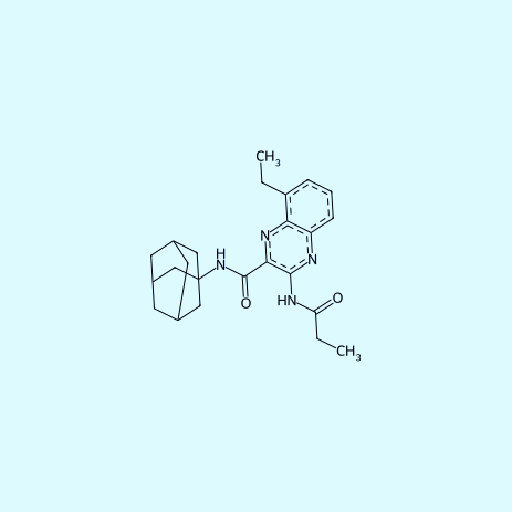 CCC(=O)Nc1nc2cccc(CC)c2nc1C(=O)NC12CC3CC(CC(C3)C1)C2